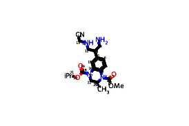 COC(=O)N1c2ccc(C(CN)CNCC#N)cc2N(C(=O)OC(C)C)C[C@@H]1C